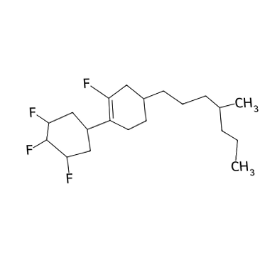 CCCC(C)CCCC1CCC(C2CC(F)C(F)C(F)C2)=C(F)C1